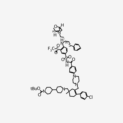 CC1(CN2CCC(C3CCN(C(=O)OC(C)(C)C)CC3)CC2)CCC(c2ccc(Cl)cc2)=C(CN2CCN(c3ccc(C(=O)NS(=O)(=O)c4ccc(N[C@H](CCN5C[C@H]6C[C@@H]5CO6)CSc5ccccc5)c(S(=O)(=O)C(F)(F)F)c4)cc3)CC2)C1